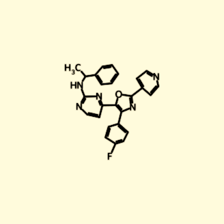 CC(Nc1nccc(-c2oc(-c3ccncc3)nc2-c2ccc(F)cc2)n1)c1ccccc1